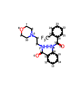 O=C(NCCN1CCOCC1)c1ccccc1NC(=O)c1ccccc1C(F)(F)F